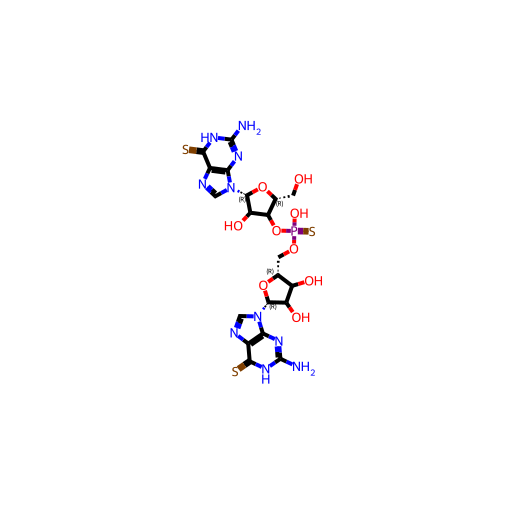 Nc1nc2c(ncn2[C@@H]2O[C@H](COP(O)(=S)OC3C(O)[C@H](n4cnc5c(=S)[nH]c(N)nc54)O[C@@H]3CO)C(O)C2O)c(=S)[nH]1